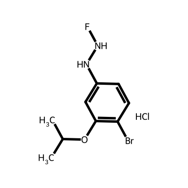 CC(C)Oc1cc(NNF)ccc1Br.Cl